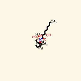 CCCCCC[C@@H](O)[C@@H](C)C(=O)N1[C@H]2C[C@@H]3CC[C@@]2(CS1(O)O)C3(C)C